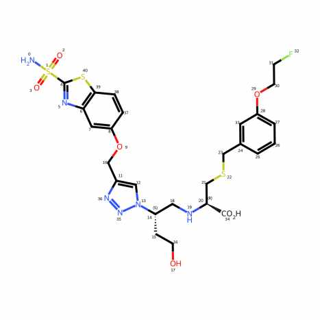 NS(=O)(=O)c1nc2cc(OCc3cn([C@@H](CCO)CN[C@@H](CSCc4cccc(OCCF)c4)C(=O)O)nn3)ccc2s1